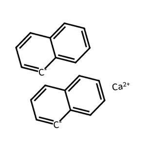 [Ca+2].[c-]1cccc2ccccc12.[c-]1cccc2ccccc12